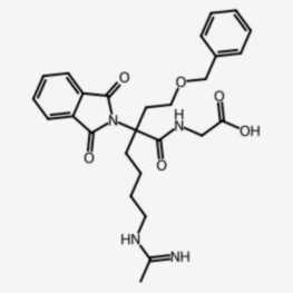 CC(=N)NCCCCC(CCOCc1ccccc1)(C(=O)NCC(=O)O)N1C(=O)c2ccccc2C1=O